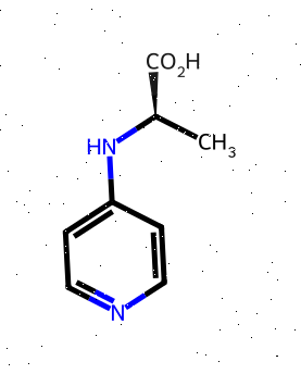 C[C@@H](Nc1ccncc1)C(=O)O